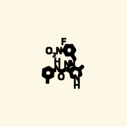 Cc1cccc(NC(=O)c2nn(Cc3ccc(F)c([N+](=O)[O-])c3)c3c2CNCC3C)c1